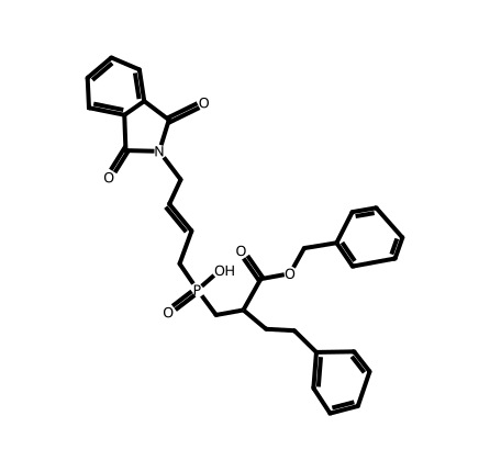 O=C(OCc1ccccc1)C(CCc1ccccc1)CP(=O)(O)CC=CCN1C(=O)c2ccccc2C1=O